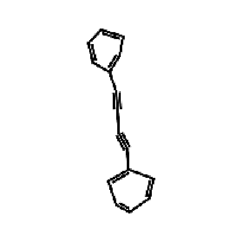 C(C#Cc1ccccc1)#Cc1ccccc1